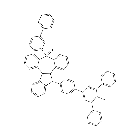 Cc1c(-c2ccccc2)cc(-c2ccc(-n3c4c(c5ccccc53)-c3ccccc3P(=O)(c3cccc(-c5ccccc5)c3)c3ccccc3-4)cc2)nc1-c1ccccc1